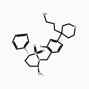 C[C@H]1CC[C@H](c2ccccc2)S(=O)(=O)N1Cc1ccc(C2(CCCO)CCOCC2)cc1F